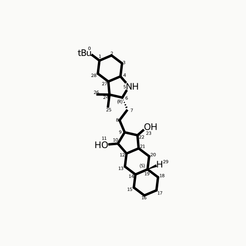 CC(C)(C)C1CCC2N[C@H](CCC3C(O)C4CC5CCCC[C@H]5CC4C3O)C(C)(C)C2C1